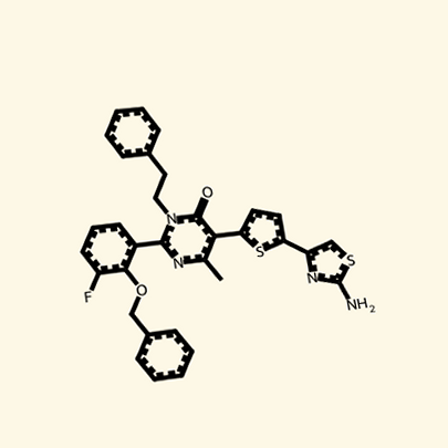 Cc1nc(-c2cccc(F)c2OCc2ccccc2)n(CCc2ccccc2)c(=O)c1-c1ccc(-c2csc(N)n2)s1